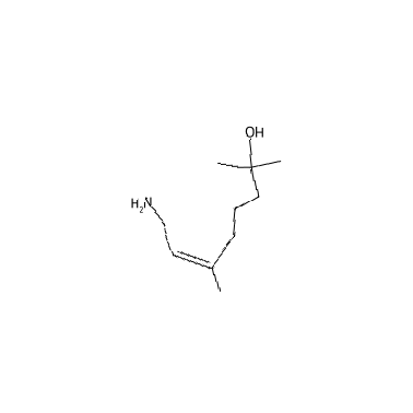 CC(=CCN)CCCC(C)(C)O